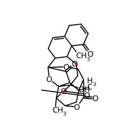 CC12C(=O)C=CCC1=CCC1C2CCC2(O)C(=O)OC3(C)C4CC5(C)C(COC16OC23C5C6=O)C(=O)O4